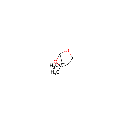 CC1(C)C2COC1OC2